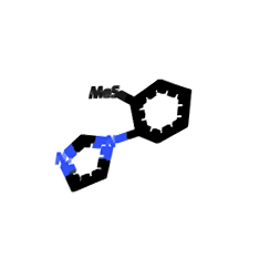 CSc1ccccc1-n1ccnc1